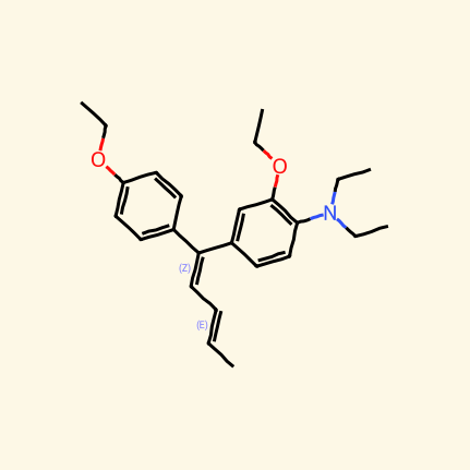 C/C=C/C=C(/c1ccc(OCC)cc1)c1ccc(N(CC)CC)c(OCC)c1